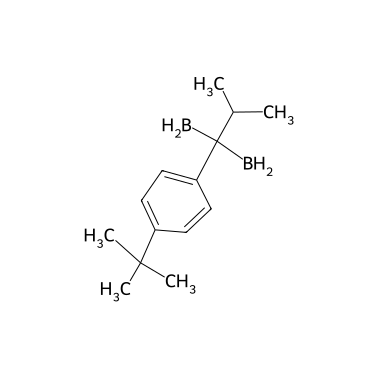 BC(B)(c1ccc(C(C)(C)C)cc1)C(C)C